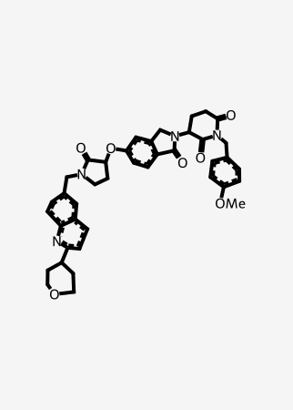 COc1ccc(CN2C(=O)CCC(N3Cc4cc(OC5CCN(Cc6ccc7nc(C8CCOCC8)ccc7c6)C5=O)ccc4C3=O)C2=O)cc1